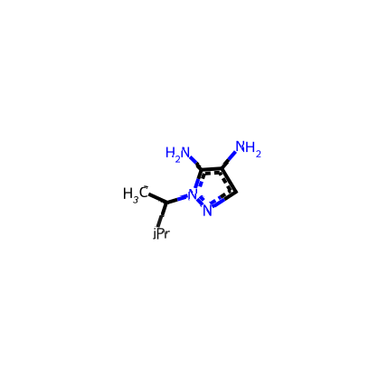 CC(C)C(C)n1ncc(N)c1N